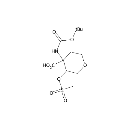 CC(C)(C)OC(=O)NC1(C(=O)O)CCOCC1OS(C)(=O)=O